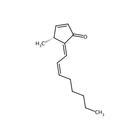 CCCCC/C=C\C=C1\C(=O)C=C[C@H]1C